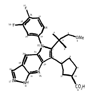 COCC(C)(C)c1c(C2CCC(C(=O)O)C2)c2nc3[nH]ncc3cc2n1-c1ccc(F)c(F)c1